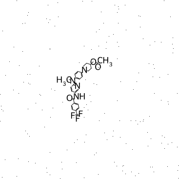 CC(=O)OC1CCN(c2ccc(N(C)c3ccc(NC(=O)c4ccc(C(F)(F)F)cc4)cn3)cc2)CC1